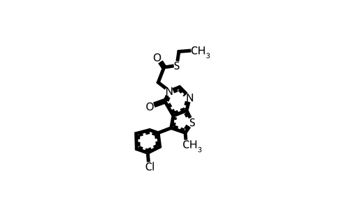 CCSC(=O)Cn1cnc2sc(C)c(-c3cccc(Cl)c3)c2c1=O